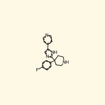 Fc1ccc(C2(c3ncc(-c4ccncc4)[nH]3)CCNCC2)cc1